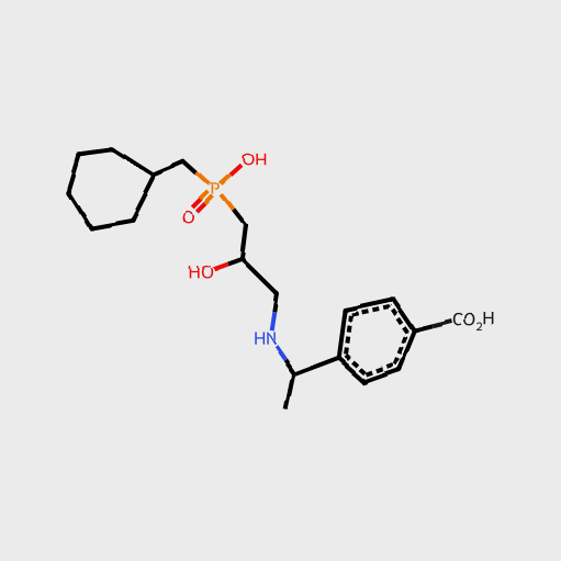 CC(NCC(O)CP(=O)(O)CC1CCCCC1)c1ccc(C(=O)O)cc1